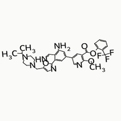 COc1ncc(-c2cc(N)c(C=N)c(-c3ncc(CN4CCN(C(C)C)CC4)o3)c2)cc1C(=O)Oc1ccccc1C(F)(F)F